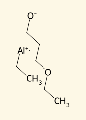 CCOCCC[O-].C[CH2][Al+]